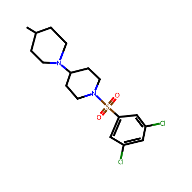 CC1CCN(C2CCN(S(=O)(=O)c3cc(Cl)cc(Cl)c3)CC2)CC1